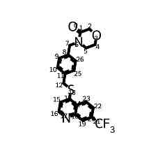 O=C1COCCN1Cc1ccc(CSc2ccnc3cc(C(F)(F)F)ccc23)cc1